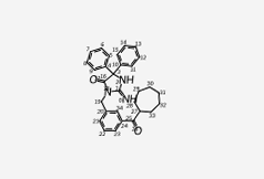 N=C1NC(c2ccccc2)(c2ccccc2)C(=O)N1Cc1cccc(C(=O)C2CCCCCC2)c1